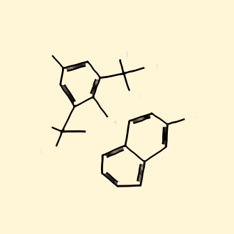 Cc1cc(C(C)(C)C)c(O)c(C(C)(C)C)c1.Oc1ccc2ccccc2c1